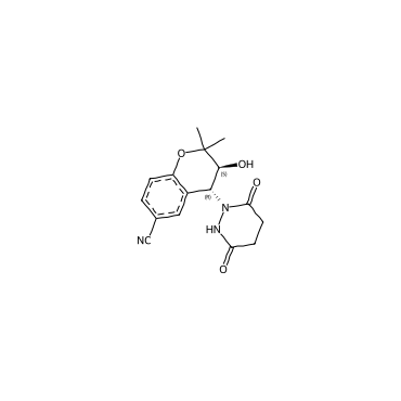 CC1(C)Oc2ccc(C#N)cc2[C@@H](N2NC(=O)CCC2=O)[C@@H]1O